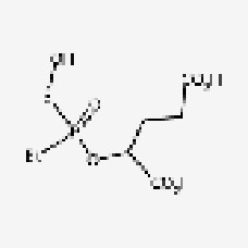 CCP(=O)(OC(CCC(=O)O)C(=O)O)SO